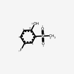 CS(=O)(=O)c1cc(F)ccc1O